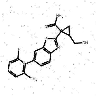 Cc1cccc(F)c1-c1ccc2nc(C3(C(N)=O)CC3CO)sc2c1